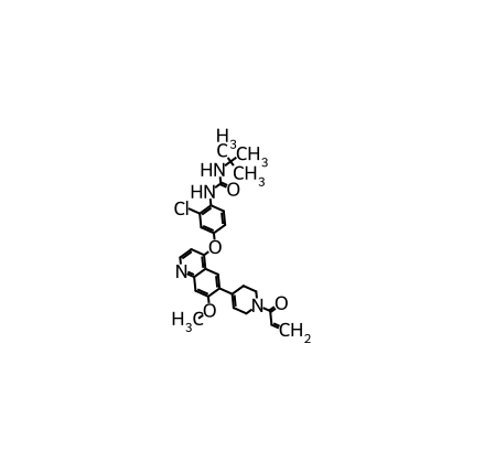 C=CC(=O)N1CC=C(c2cc3c(Oc4ccc(NC(=O)NC(C)(C)C)c(Cl)c4)ccnc3cc2OC)CC1